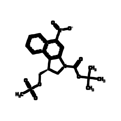 CC(C)(C)OC(=O)N1C[C@H](COS(C)(=O)=O)c2c1cc([N+](=O)[O-])c1ccccc21